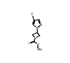 CC(C)(C)OC(=O)N1CC(n2cc(F)cn2)C1